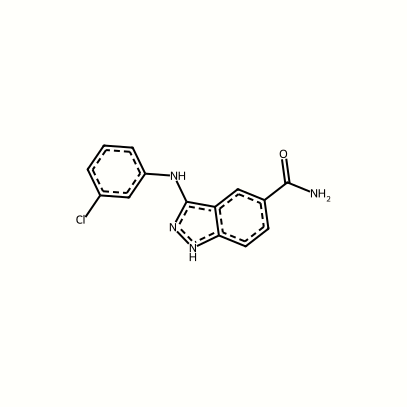 NC(=O)c1ccc2[nH]nc(Nc3cccc(Cl)c3)c2c1